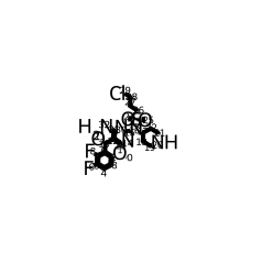 COc1ccc(F)c(F)c1C(=O)c1cnc(N(C2CCNCC2)S(=O)(=O)CCCCl)nc1N